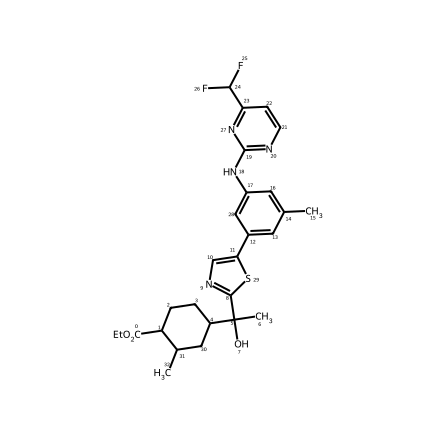 CCOC(=O)C1CCC(C(C)(O)c2ncc(-c3cc(C)cc(Nc4nccc(C(F)F)n4)c3)s2)CC1C